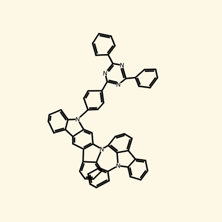 c1ccc(-c2nc(-c3ccccc3)nc(-c3ccc(-n4c5ccccc5c5cc6c7ccccc7n(-c7cccc8c9ccccc9n(-c9ccccc9)c78)c6cc54)cc3)n2)cc1